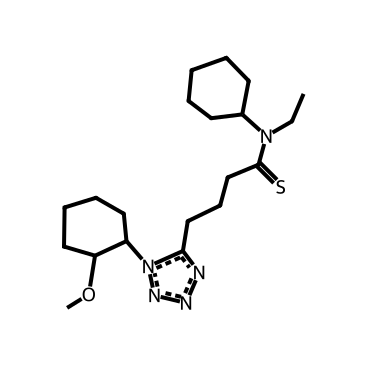 CCN(C(=S)CCCc1nnnn1C1CCCCC1OC)C1CCCCC1